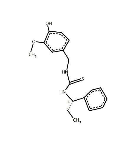 CC[C@H](NC(=S)NCc1ccc(O)c(OC)c1)c1ccccc1